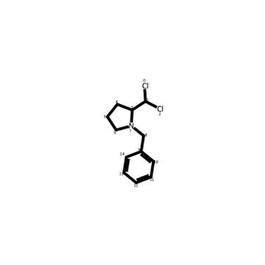 ClC(Cl)C1CCCN1Cc1ccccc1